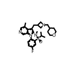 CN=S(=O)(c1cc(F)ccc1-n1cc(CC2CN(CC3CCOCC3)C2)c2c(C)cncc21)C(C)C